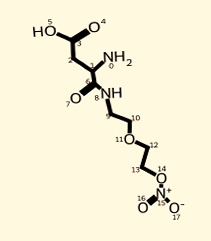 NC(CC(=O)O)C(=O)NCCOCCO[N+](=O)[O-]